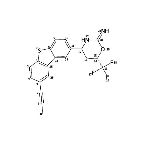 CC#Cc1ccc2sc3ccc(C4C[C@@H](C(F)(F)F)OC(=N)N4)cc3c2c1